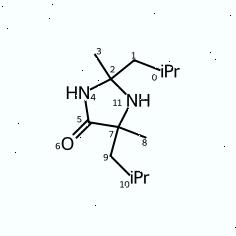 CC(C)CC1(C)NC(=O)C(C)(CC(C)C)N1